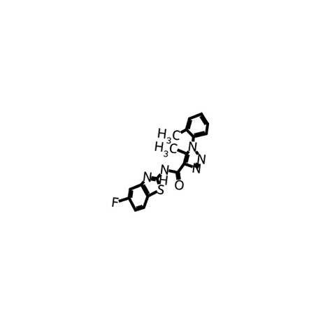 Cc1ccccc1-n1nnc(C(=O)Nc2nc3cc(F)ccc3s2)c1C